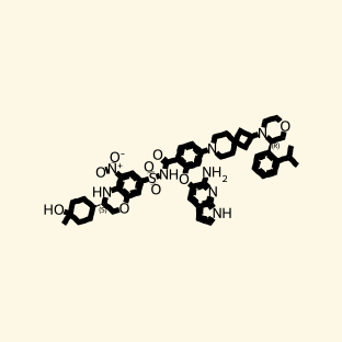 CC(C)c1ccccc1[C@@H]1COCCN1C1CC2(CCN(c3ccc(C(=O)NS(=O)(=O)c4cc5c(c([N+](=O)[O-])c4)N[C@@H](C4CCC(C)(O)CC4)CO5)c(Oc4cc5cc[nH]c5nc4N)c3)CC2)C1